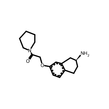 N[C@H]1CCc2ccc(OCC(=O)N3CCCCC3)cc2C1